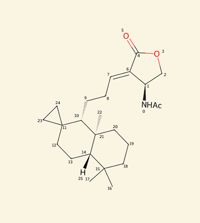 CC(=O)N[C@@H]1COC(=O)/C1=C/CC[C@H]1C2(CC[C@H]3C(C)(C)CCC[C@@]31C)CC2